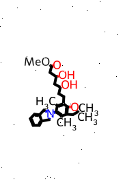 COC(=O)CC(O)CC(O)CCc1c(C)c(N2Cc3ccccc3C2)c(C)c2c1OC(C)(C)C2